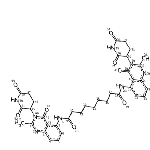 Cc1nc2cccc(NC(=O)CCCCCCCC(=O)Nc3cccc4nc(C)n(C5CCC(=O)NC5=O)c(=O)c34)c2c(=O)n1C1CCC(=O)NC1=O